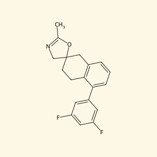 CC1=NCC2(CCc3c(cccc3-c3cc(F)cc(F)c3)C2)O1